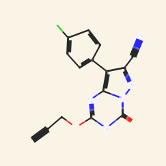 C#CCOc1nc2c(-c3ccc(Cl)cc3)c(C#N)nn2c(=O)[nH]1